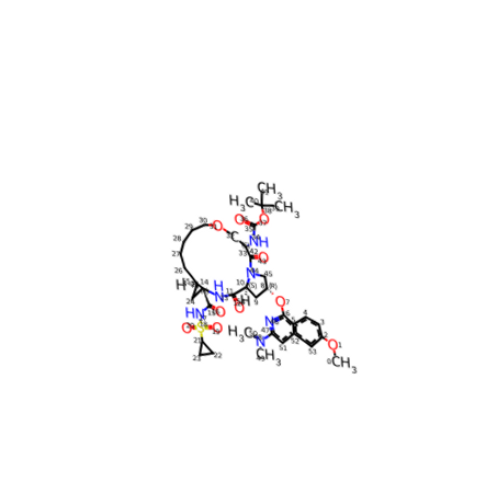 COc1ccc2c(O[C@@H]3C[C@H]4C(=O)N[C@]5(C(=O)NS(=O)(=O)C6CC6)C[C@H]5CCCCCOC[C@H](NC(=O)OC(C)(C)C)C(=O)N4C3)nc(N(C)C)cc2c1